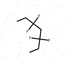 CCC(F)(F)CC(F)(F)CC